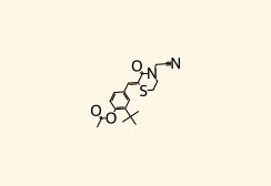 CC(=O)Oc1ccc(/C=C2\SCCN(CC#N)C2=O)cc1C(C)(C)C